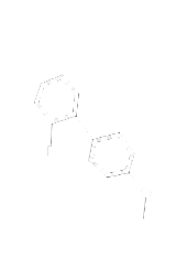 COc1ccc(-c2c[c]ccc2F)cc1